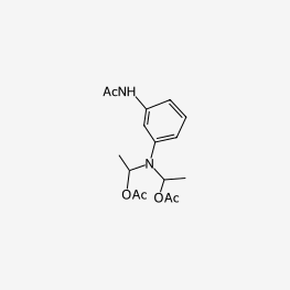 CC(=O)Nc1cccc(N(C(C)OC(C)=O)C(C)OC(C)=O)c1